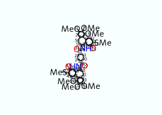 COc1cc2c(c(OC)c1OC)-c1ccc(SC)c(=O)cc1[C@@H](NC(=O)[C@H]1CC[C@H](C(=O)N[C@H]3CCc4cc(OC)c(OC)c(OC)c4-c4ccc(SC)c(=O)cc43)CC1)CC2